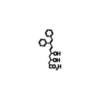 O=C(O)C[C@H](O)C[C@H](O)C=CC(=Cc1ccccc1)c1ccccc1